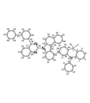 CC1(C)c2ccccc2N(c2ccccc2)c2cc(-c3cccc4c3c3c5ccccc5ccc3n4-c3nc(-c4cccc(-c5ccccc5)c4)c4ccccc4n3)ccc21